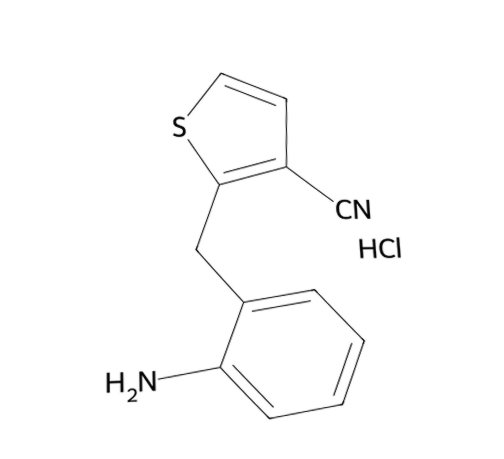 Cl.N#Cc1ccsc1Cc1ccccc1N